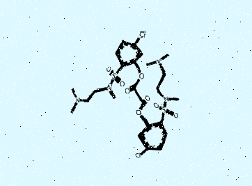 CN(C)CCN(C)S(=O)(=O)c1ccc(Cl)cc1OC(=O)C(=O)Oc1cc(Cl)ccc1S(=O)(=O)N(C)CCN(C)C